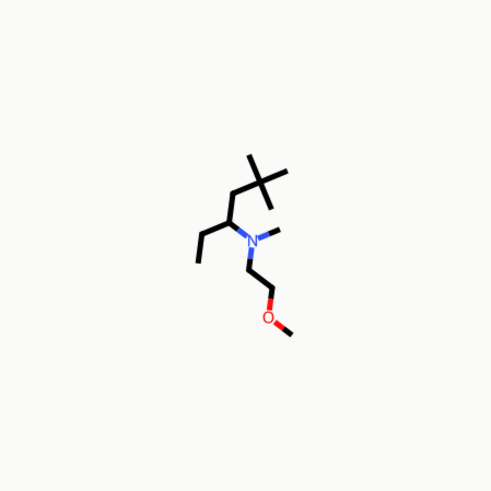 CCC(CC(C)(C)C)N(C)CCOC